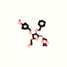 COc1ccc(CO[C@@H]2[C@@H](OCc3ccccc3)[C@@H](C[C@@H]3COC(C)(C)O3)O[C@H]2CC=O)cc1